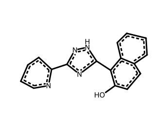 Oc1ccc2ccccc2c1-c1nc(-c2ccccn2)n[nH]1